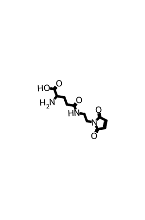 NC(CCC(=O)NCCN1C(=O)C=CC1=O)C(=O)O